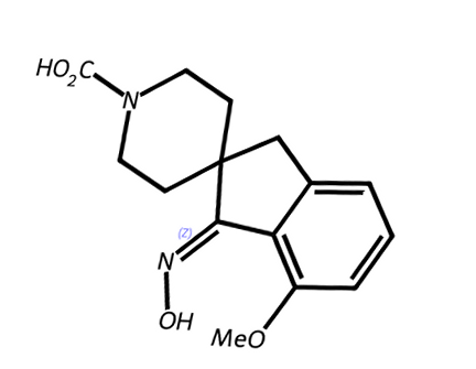 COc1cccc2c1/C(=N\O)C1(CCN(C(=O)O)CC1)C2